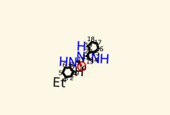 [2H]c1cc(CC)ccc1NC(=O)Nc1c[nH]c2ccccc12